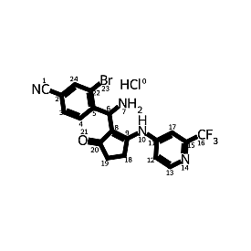 Cl.N#Cc1ccc(C(N)C2=C(Nc3ccnc(C(F)(F)F)c3)CCC2=O)c(Br)c1